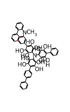 CN(c1cccc(-c2c(O)c(O)c(N(c3c(O)c(O)c(-c4ccccc4)c(O)c3O)c3c(O)c(O)c(-c4ccc(-c5ccccc5)cc4)c(O)c3O)c(O)c2O)c1)c1ccccc1-c1ccccc1